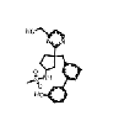 CS(=O)(=O)N[C@H]1CC[C@](Cc2cccc(-c3cccc(O)c3)c2)(c2nccc(CO)n2)C1